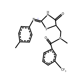 Cc1ccc(/N=C2/NC(=O)C(CN(C)C(=O)c3cccc(C(F)(F)F)c3)S2)cc1